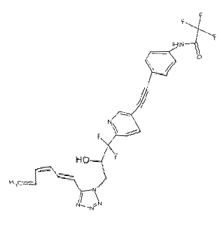 C=C/C=C\C=C\c1nnnn1CC(O)C(F)(F)c1ccc(C#Cc2ccc(NC(=O)C(F)(F)F)cc2)cn1